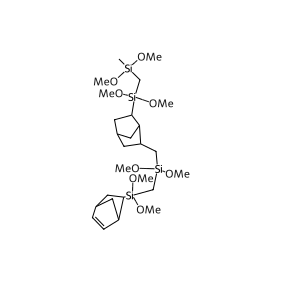 CO[Si](C)(C[Si](OC)(OC)C1CC2CC(C[Si](C[Si](OC)(OC)C3CC4C=CC3C4)(OC)OC)C1C2)OC